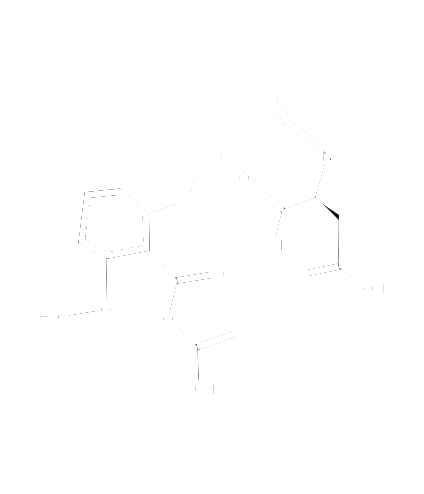 COc1cccc(OC)c1C(=O)OC(C)=O.O=C=N[C@@H](CC(=O)O)C(=O)O